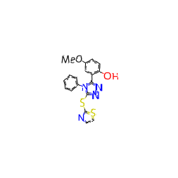 COc1ccc(O)c(-c2nnc(Sc3nccs3)n2-c2ccccc2)c1